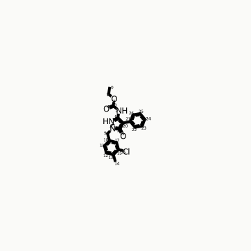 CCOC(=O)Nc1[nH]n(Cc2ccc(C)c(Cl)c2)c(=O)c1-c1ccccc1